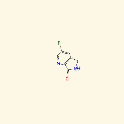 O=C1NCc2cc(F)cnc21